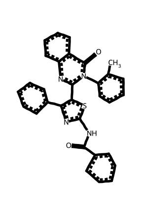 Cc1ccccc1-n1c(-c2sc(NC(=O)c3ccccc3)nc2-c2ccccc2)nc2ccccc2c1=O